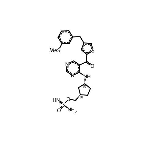 CSc1cccc(Cc2csc(C(=O)c3cncnc3N[C@H]3CC[C@@H](COS(=N)(N)=O)C3)c2)c1